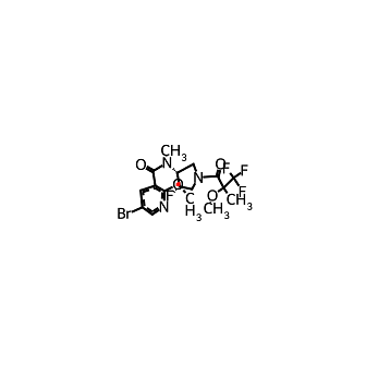 COc1ncc(Br)cc1C(=O)N(C)[C@@H]1CN(C(=O)C(C)(OC)C(F)(F)F)C[C@@H]1F